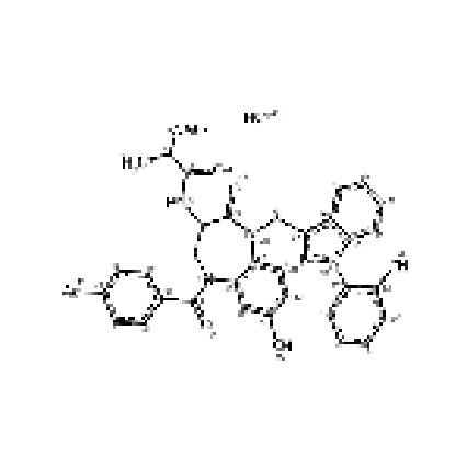 CNC(C)C(=O)NC1CN(C(=O)c2ccc(C(C)=O)cc2)c2cc(C#N)ccc2N(Cc2nn(-c3ccccc3C#N)c3ccccc23)C1=O.Cl